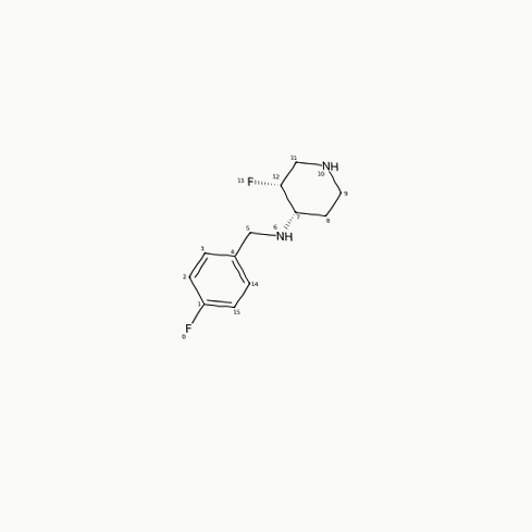 Fc1ccc(CN[C@H]2CCNC[C@H]2F)cc1